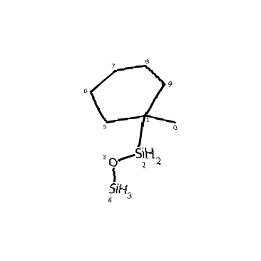 CC1([SiH2]O[SiH3])CCCCC1